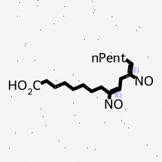 CCCCC/C=C(\C/C=C(\CCCCCCCC(=O)O)N=O)N=O